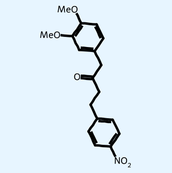 COc1ccc(CC(=O)CCc2ccc([N+](=O)[O-])cc2)cc1OC